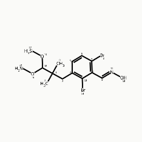 CC(C)(Cc1ccc(Br)c(/C=N/O)c1Br)C(O[SiH3])O[SiH3]